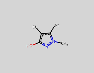 CCc1c(O)nn(C)c1C(C)C